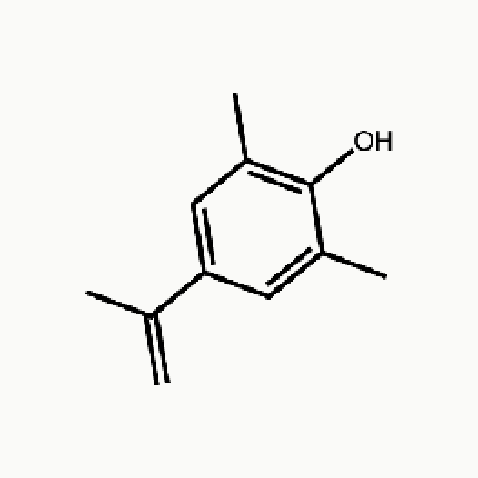 C=C(C)c1cc(C)c(O)c(C)c1